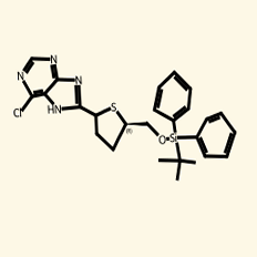 CC(C)(C)[Si](OC[C@H]1CCC(c2nc3ncnc(Cl)c3[nH]2)S1)(c1ccccc1)c1ccccc1